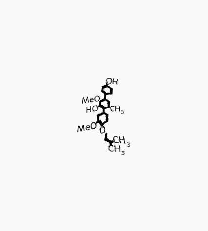 COc1cc(-c2c(C)cc(-c3ccc(O)cc3)c(OC)c2O)ccc1OCC=C(C)C